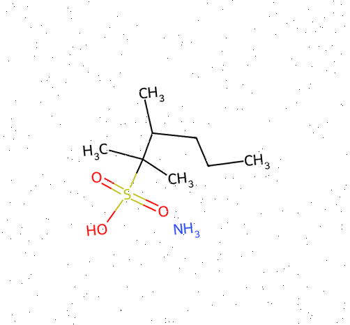 CCCC(C)C(C)(C)S(=O)(=O)O.N